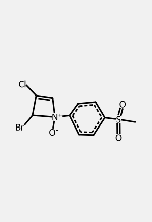 CS(=O)(=O)c1ccc([N+]2([O-])C=C(Cl)C2Br)cc1